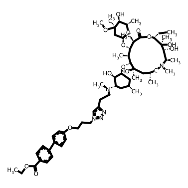 CCOC(=O)c1ccc(-c2ccc(OCCCn3cc(CCN(C)[C@H]4C[C@@H](C)C[C@@H](O[C@@H]5[C@@H](C)[C@H](O[C@H]6C[C@@](C)(OC)[C@@H](O)[C@H](C)O6)[C@@H](C)C(=O)O[C@H](CC)[C@@](C)(O)[C@H](O)[C@@H](C)N(C)C[C@H](C)C[C@@]5(C)O)[C@@H]4O)nn3)cc2)cc1